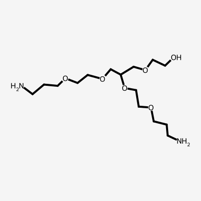 NCCCOCCOCC(COCCO)OCCOCCCN